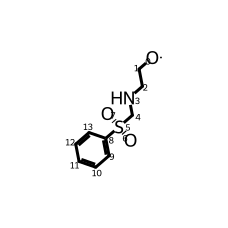 [O]CCNCS(=O)(=O)c1ccccc1